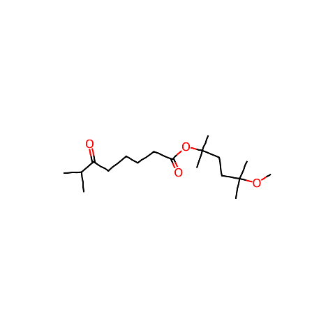 COC(C)(C)CCC(C)(C)OC(=O)CCCCC(=O)C(C)C